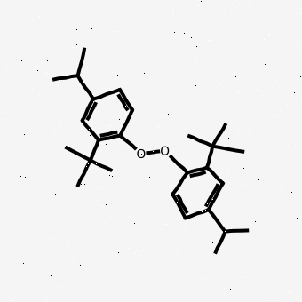 CC(C)c1ccc(OOc2ccc(C(C)C)cc2C(C)(C)C)c(C(C)(C)C)c1